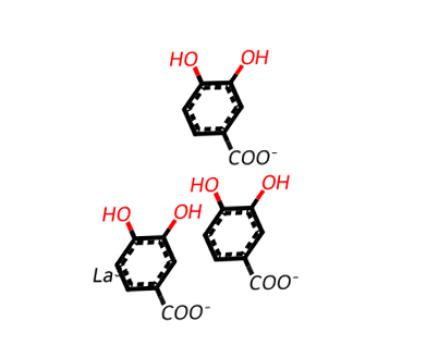 O=C([O-])c1ccc(O)c(O)c1.O=C([O-])c1ccc(O)c(O)c1.O=C([O-])c1ccc(O)c(O)c1.[La+3]